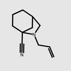 C=CCN1CC2CCCC1(C#N)C2